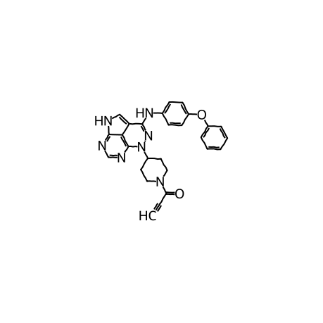 C#CC(=O)N1CCC(N2N=C(Nc3ccc(Oc4ccccc4)cc3)c3c[nH]c4ncnc2c34)CC1